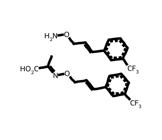 CC(=NOCC=Cc1cccc(C(F)(F)F)c1)C(=O)O.NOCC=Cc1cccc(C(F)(F)F)c1